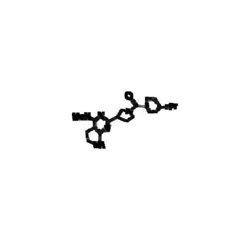 CCCc1ccc(C(=O)N2CCC(c3nc4c(c(NC)n3)CCNC4)C2)cc1